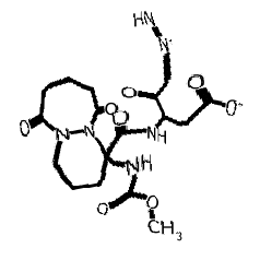 COC(=O)NC1(C(=O)NC(CC(=O)[O-])C(=O)C=[N+]=N)CCCN2C(=O)CCCC(=O)N21